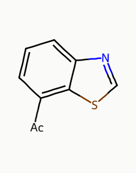 CC(=O)c1cccc2ncsc12